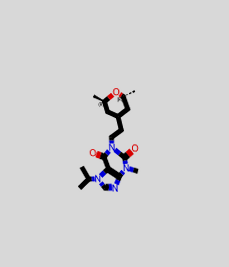 CC(C)n1cnc2c1c(=O)n(CCC1C[C@@H](C)O[C@H](C)C1)c(=O)n2C